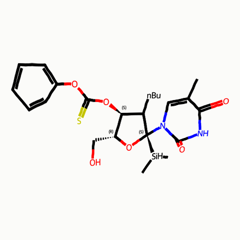 CCCCC1[C@H](OC(=S)Oc2ccccc2)[C@@H](CO)O[C@]1(n1cc(C)c(=O)[nH]c1=O)[SiH](C)C